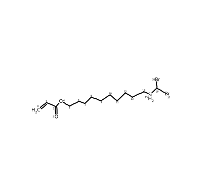 C=CC(=O)OCCCCCCCCCC[SiH2]C(Br)Br